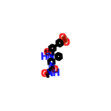 COc1ccc(-c2ccc(S(C)(=O)=O)cc2)cc1CN[C@H]1CCN(C(=O)CNC(C)=O)C[C@H]1c1ccccc1